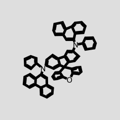 c1ccc(N(c2ccc3c(c2)-c2ccc(N(c4ccccc4)c4cc5ccccc5c5ccccc45)cc2C32c3ccccc3Oc3ccccc32)c2cc3ccccc3c3ccccc23)cc1